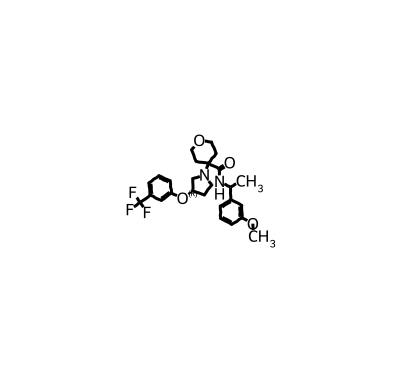 COc1cccc(C(C)NC(=O)C2(N3CC[C@@H](Oc4cccc(C(F)(F)F)c4)C3)CCOCC2)c1